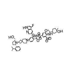 CC(C)c1ccccc1[C@@H]1CC[C@H](CO)N1C1CC2(CCN(c3ccc(C(=O)NS(=O)(=O)c4cc5c(c([N+](=O)[O-])c4)NC(C4CCC(C)(O)CC4)CO5)c(Oc4cnc5[nH]cc(F)c5c4)c3)CC2)C1